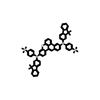 CC1(C)c2ccccc2-c2ccc(N(c3ccc([Si](C)(C)C)cc3)c3ccc4c(c3)Oc3cccc5c3c-4cc3ccc(N(c4ccc([Si](C)(C)C)cc4)c4ccc6c(c4)C(C)(C)c4ccccc4-6)cc35)cc21